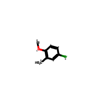 CCOc1ccc(Br)cc1C(=O)O